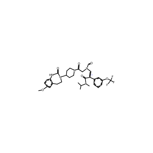 COc1ccc2c(c1)CCN(C1CCN(C(=O)CN(C=O)/C=C(\C(=O)N(C)C(C)C)c3cccc(OC(F)(F)F)c3)CC1)C(=O)N2